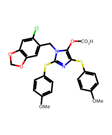 COc1ccc(Sc2nc(Sc3ccc(OC)cc3)n(Cc3cc4c(cc3Cl)OCO4)c2OC(=O)O)cc1